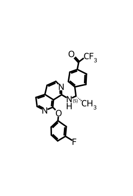 C[C@H](Nc1nccc2ccnc(Oc3cccc(F)c3)c12)c1ccc(C(=O)C(F)(F)F)cc1